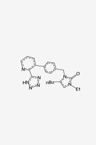 CCCCc1cn(CC)c(=O)n1Cc1ccc(-c2cccnc2-c2nnn[nH]2)cc1